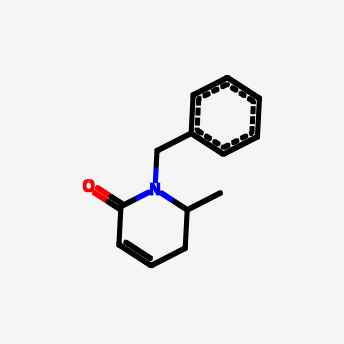 CC1CC=CC(=O)N1Cc1ccccc1